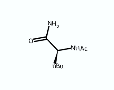 CCCC[C@H](NC(C)=O)C(N)=O